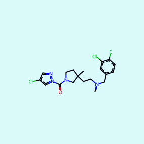 CN(CCC1(C)CCN(C(=O)n2cc(Cl)cn2)C1)Cc1ccc(Cl)c(Cl)c1